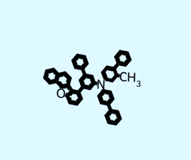 CC1CC(N(c2ccc(-c3ccccc3)cc2)c2cc(-c3ccccc3)cc(-c3cccc4oc5c6ccccc6ccc5c34)c2)=CC=C1c1ccccc1